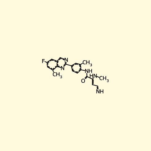 CN/C(=C\C=N)C(=O)Nc1ccc(-c2ncc3cc(F)cc(C)c3n2)cc1C